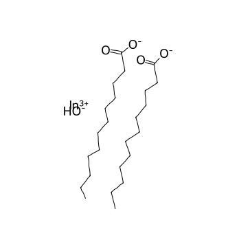 CCCCCCCCCCCC(=O)[O-].CCCCCCCCCCCC(=O)[O-].[In+3].[OH-]